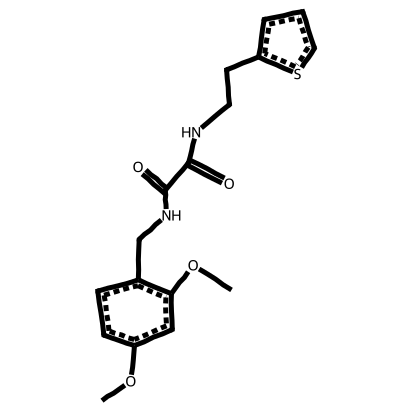 COc1ccc(CNC(=O)C(=O)NCCc2cccs2)c(OC)c1